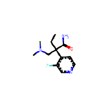 CCC(CN(C)C)(C(N)=O)c1ccncc1F